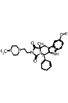 CCOc1ccc2[nH]c3c(c2c1)CC1(C)C(=O)N(CCN2CCN(C)CC2)C(=O)N1[C@@H]3C1=CCCC=C1